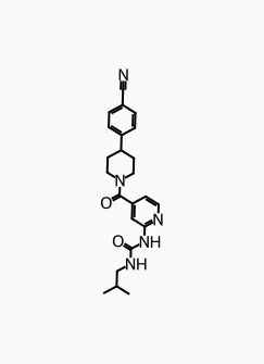 CC(C)CNC(=O)Nc1cc(C(=O)N2CCC(c3ccc(C#N)cc3)CC2)ccn1